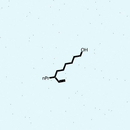 C=CC(CCC)CCCCCCO